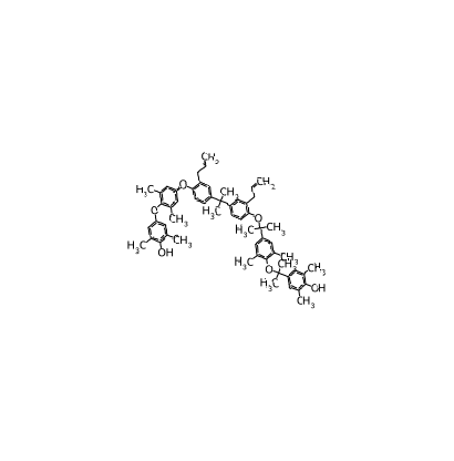 C=CCc1cc(C(C)(C)c2ccc(OC(C)(C)c3cc(C)c(OC(C)(C)c4cc(C)c(O)c(C)c4)c(C)c3)c(CC=C)c2)ccc1Oc1cc(C)c(Oc2cc(C)c(O)c(C)c2)c(C)c1